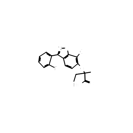 CCC(C)(Oc1ccc2c(-c3ccccc3F)noc2c1Cl)C(=O)O